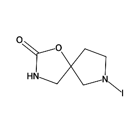 O=C1NCC2(CCN(I)C2)O1